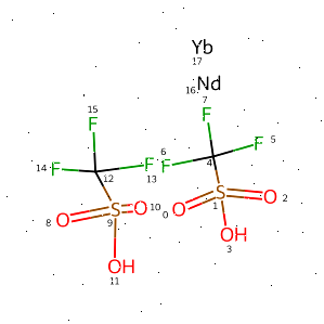 O=S(=O)(O)C(F)(F)F.O=S(=O)(O)C(F)(F)F.[Nd].[Yb]